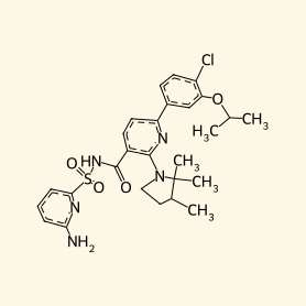 CC(C)Oc1cc(-c2ccc(C(=O)NS(=O)(=O)c3cccc(N)n3)c(N3CCC(C)C3(C)C)n2)ccc1Cl